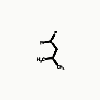 CN(C)CB(F)F